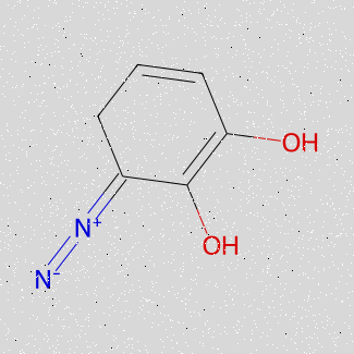 [N-]=[N+]=C1CC=CC(O)=C1O